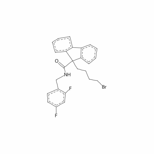 O=C(NCc1ccc(F)cc1F)C1(CCCCBr)c2ccccc2-c2ccccc21